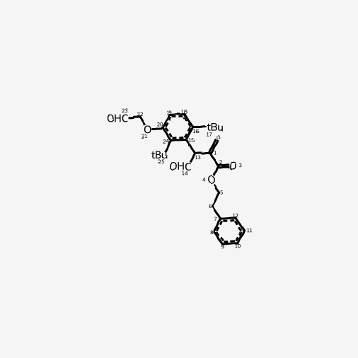 C=C(C(=O)OCCc1ccccc1)C(C=O)c1c(C(C)(C)C)ccc(OCC=O)c1C(C)(C)C